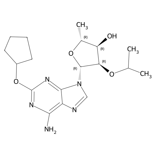 CC(C)O[C@@H]1[C@H](O)[C@@H](C)O[C@H]1n1cnc2c(N)nc(OC3CCCC3)nc21